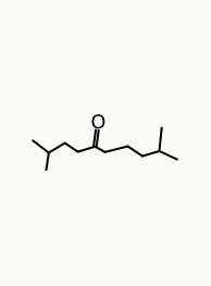 CC(C)CCCC(=O)CCC(C)C